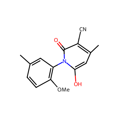 COc1ccc(C)cc1-n1c(O)cc(C)c(C#N)c1=O